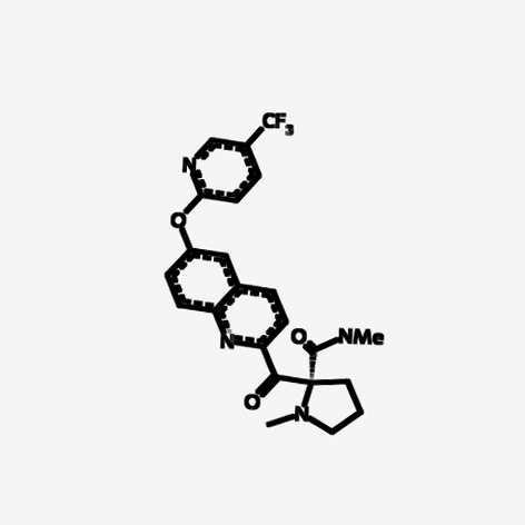 CNC(=O)[C@]1(C(=O)c2ccc3cc(Oc4ccc(C(F)(F)F)cn4)ccc3n2)CCCN1C